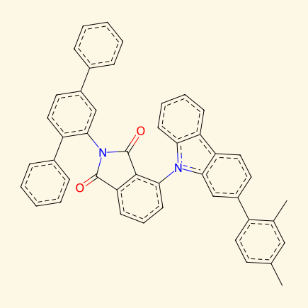 Cc1ccc(-c2ccc3c4ccccc4n(-c4cccc5c4C(=O)N(c4cc(-c6ccccc6)ccc4-c4ccccc4)C5=O)c3c2)c(C)c1